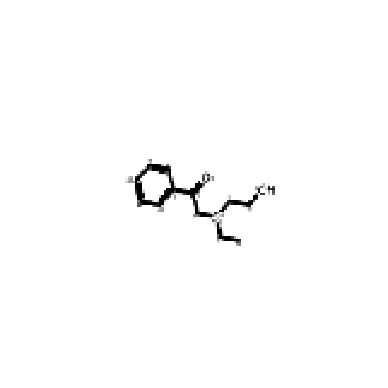 CC[S+](CCO)CC(=O)c1ccccc1